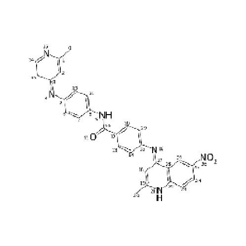 CC1=CC(=Nc2ccc(NC(=O)c3ccc(N=c4cc(C)[nH]c5ccc([N+](=O)[O-])cc45)cc3)cc2)CC=N1